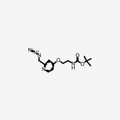 CC(C)(C)OC(=O)NCCOc1ccnc(CN=[N+]=[N-])c1